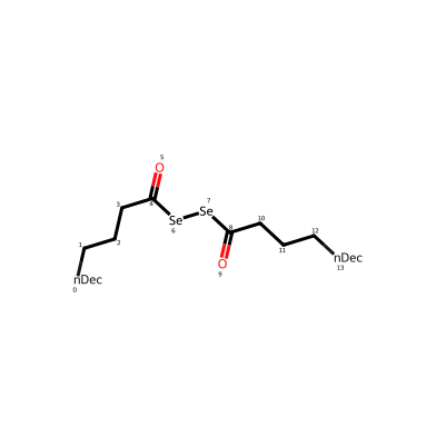 CCCCCCCCCCCCCC(=O)[Se][Se]C(=O)CCCCCCCCCCCCC